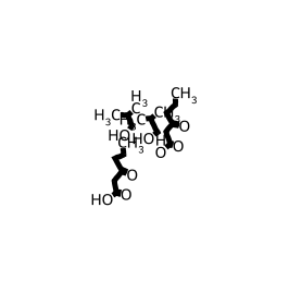 CC(C)CO.CC(C)CO.CCCC(=O)CC(=O)O.CCCC(=O)CC(=O)O